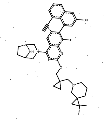 C#Cc1cccc2cc(O)cc(-c3c(F)cc4c(N5CC6CCC(C5)N6)nc(OCC5(CN6CCCC7(C6)CC7(F)F)CC5)nc4c3F)c12